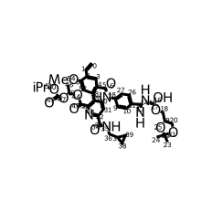 C=Cc1cc(C(=O)Nc2ccc(C(=N)NC(O)OCC3COC(C)(C)O3)cc2)c(-c2ccc(C(=O)NCC3CC3)nc2C(=O)OC(C)OC(=O)OC(C)C)cc1OC